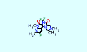 Cc1nc2c(cc1F)c1c(c(=O)n2C)N(C(F)F)C(=O)C2CN(C)C(C)CN12